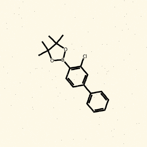 CC1(C)OB(c2ccc(-c3ccccc3)cc2Cl)OC1(C)C